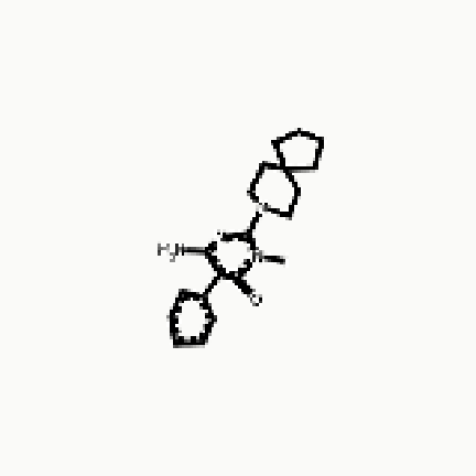 Nc1nc(N2CCC3(CCCC3)CC2)n(I)c(=O)c1-c1ccccc1